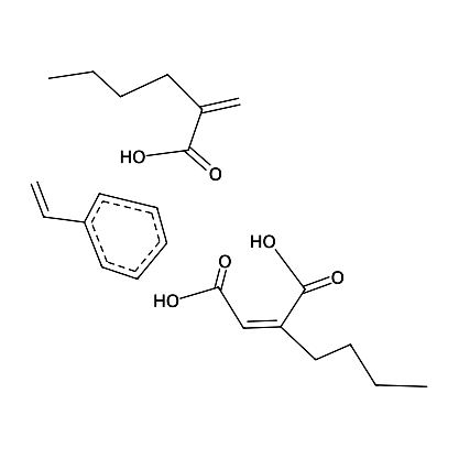 C=C(CCCC)C(=O)O.C=Cc1ccccc1.CCCCC(=CC(=O)O)C(=O)O